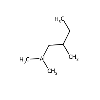 CCC(C)[CH2][Al]([CH3])[CH3]